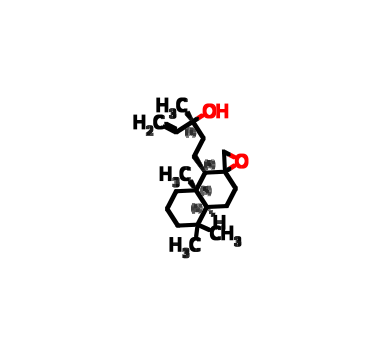 C=C[C@](C)(O)CC[C@H]1C2(CC[C@H]3C(C)(C)CCC[C@@]31C)CO2